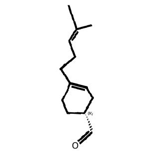 CC(C)=CCCC1=CC[C@H](C=O)CC1